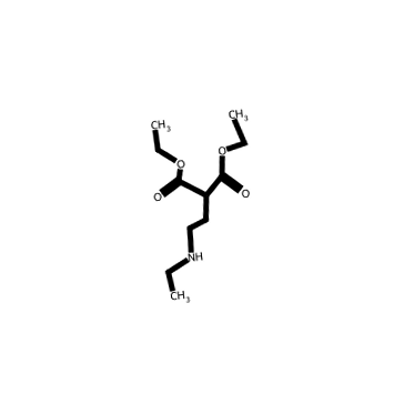 CCNCCC(C(=O)OCC)C(=O)OCC